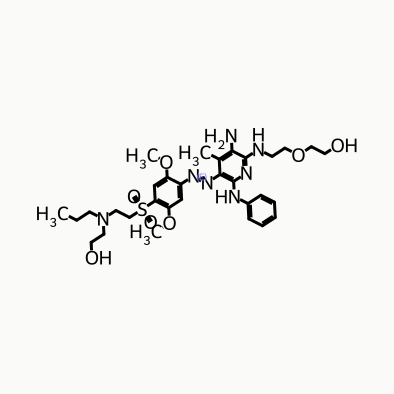 CCCN(CCO)CCS(=O)(=O)c1cc(OC)c(/N=N/c2c(Nc3ccccc3)nc(NCCOCCO)c(N)c2C)cc1OC